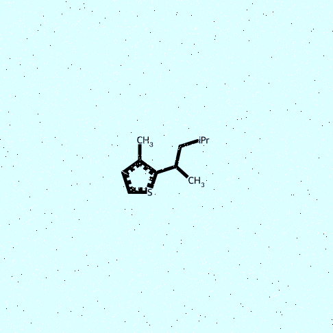 Cc1ccsc1C(C)CC(C)C